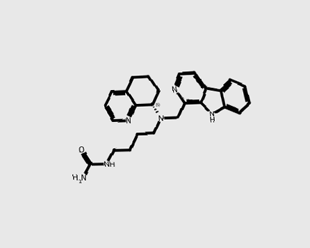 NC(=O)NCCCCN(Cc1nccc2c1[nH]c1ccccc12)[C@H]1CCCc2cccnc21